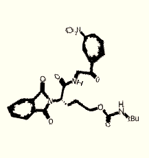 CC(C)(C)NC(=O)OCCC[C@@H](C(=O)NCC(=O)c1cccc([N+](=O)[O-])c1)N1C(=O)c2ccccc2C1=O